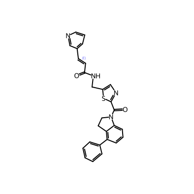 O=C(/C=C/c1cccnc1)NCc1cnc(C(=O)N2CCc3c(-c4ccccc4)cccc32)s1